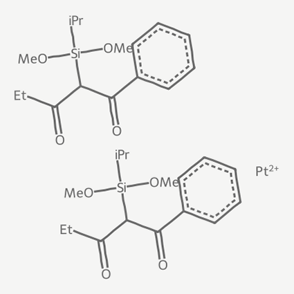 CCC(=O)C(C(=O)c1ccccc1)[Si](OC)(OC)C(C)C.CCC(=O)C(C(=O)c1ccccc1)[Si](OC)(OC)C(C)C.[Pt+2]